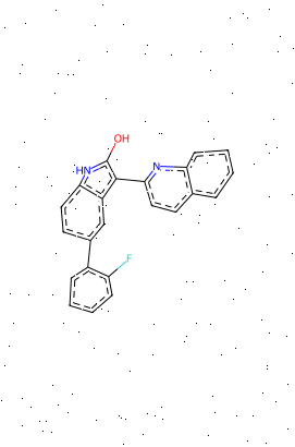 Oc1[nH]c2ccc(-c3ccccc3F)cc2c1-c1ccc2ccccc2n1